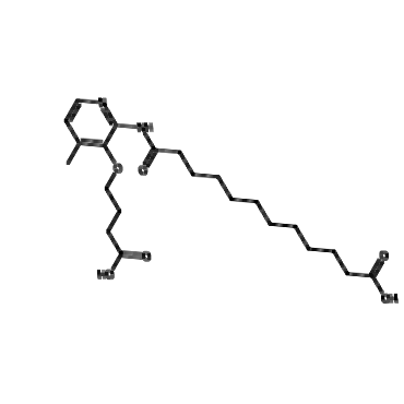 Cc1ccnc(NC(=O)CCCCCCCCCCC(=O)O)c1OCCCC(=O)O